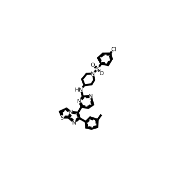 Cc1cccc(-c2nc3sccn3c2-c2ccnc(NC3CCN(S(=O)(=O)c4ccc(Cl)cc4)CC3)n2)c1